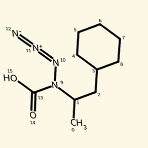 CC(CC1CCCCC1)N(N=[N+]=[N-])C(=O)O